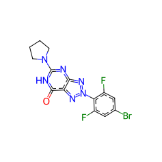 O=c1[nH]c(N2CCCC2)nc2nn(-c3c(F)cc(Br)cc3F)nc12